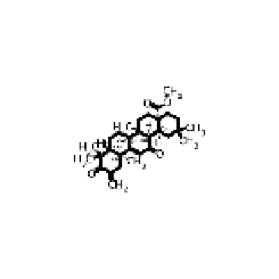 C=C1C[C@]2(C)C3=CC(=O)[C@@H]4[C@@H]5CC(C)(C)CC[C@]5(C(=O)OC)CC[C@@]4(C)[C@]3(C)CC[C@H]2C(C)(C)C1=O